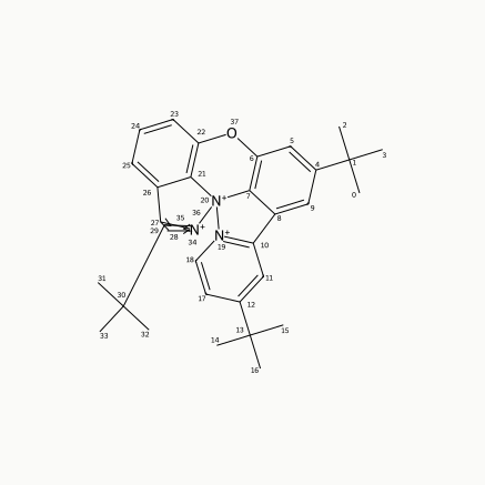 CC(C)(C)c1cc2c3c(c1)-c1cc(C(C)(C)C)cc[n+]1[N+]31c3c(cccc3-c3cc(C(C)(C)C)cc[n+]31)O2